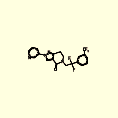 O=C1c2cn(-c3cccnc3)nc2CCN1CC(F)(F)c1cccc(C(F)(F)F)c1